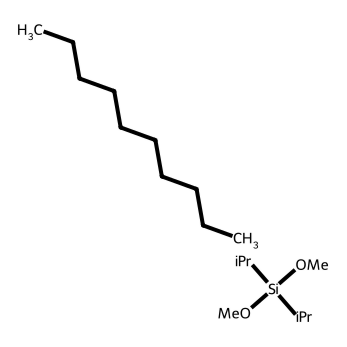 CCCCCCCCCC.CO[Si](OC)(C(C)C)C(C)C